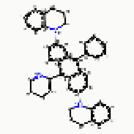 C1=NC(c2c3cc(N4CCCc5ccccc54)ccc3c(-c3ccccc3)c3cc(N4CCCc5ccccc54)ccc23)=CCC1